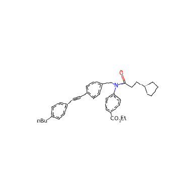 CCCCc1ccc(C#Cc2ccc(CN(C(=O)CCC3CCCC3)c3ccc(C(=O)OCC)cc3)cc2)cc1